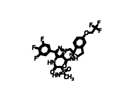 CS(=N)(=O)CC(=O)Nc1c(-c2cc(F)c(F)c(F)c2)nn2c1C(=O)N[C@@]1(CCc3cc(OCC(F)(F)F)ccc31)C2